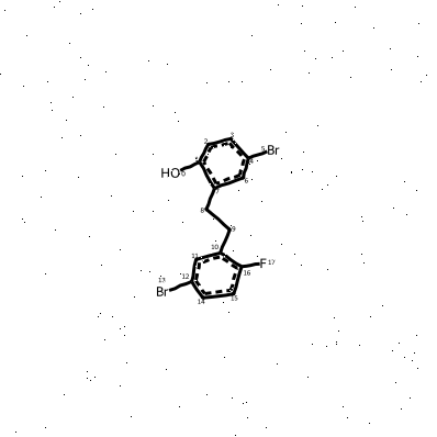 Oc1ccc(Br)cc1CCc1cc(Br)ccc1F